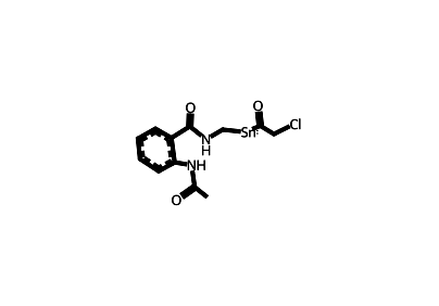 CC(=O)Nc1ccccc1C(=O)N[CH2][Sn][C](=O)CCl